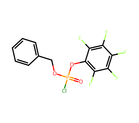 O=P(Cl)(OCc1ccccc1)Oc1c(F)c(F)c(F)c(F)c1F